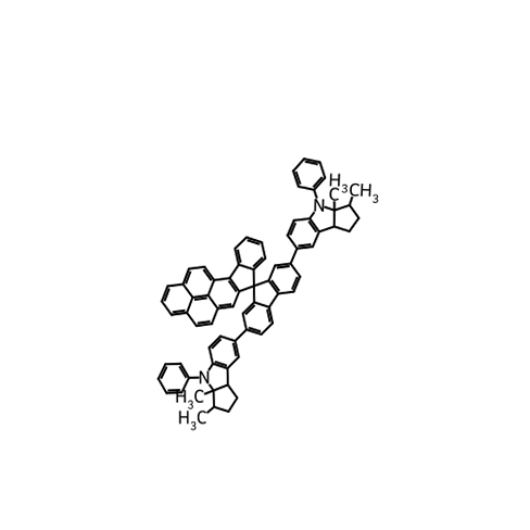 CC1CCC2c3cc(-c4ccc5c(c4)C4(c6cc(-c7ccc8c(c7)C7CCC(C)C7(C)N8c7ccccc7)ccc6-5)c5ccccc5-c5c4cc4ccc6cccc7ccc5c4c67)ccc3N(c3ccccc3)C12C